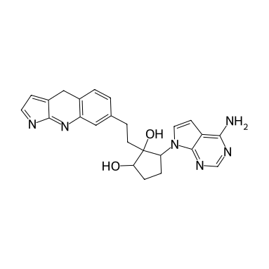 Nc1ncnc2c1ccn2C1CCC(O)C1(O)CCc1ccc2c(c1)N=C1N=CC=C1C2